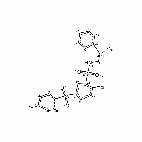 Cc1ccc(S(=O)(=O)c2ccc(C)c(S(=O)(=O)NC[C@@H](C)c3ccccc3)c2)cc1